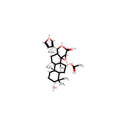 CC(=O)O[C@@H]1CC2C(C)(C)[C@H](O)CC[C@]2(C)C2CC[C@@]3(C)[C@H](c4ccoc4)OC(=O)C4OC43[C@@]21C